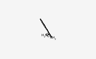 CCCCCCCCCCCCCCCCCCC(CCCN)C(=O)ON